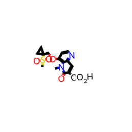 Cn1c(=O)c(C(=O)O)cc2nccc(OCC3(S(C)(=O)=O)CC3)c21